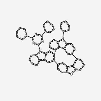 c1ccc(-c2nc(-c3ccccc3)nc(-n3c4ccccc4c4cc(-c5ccc6oc7cccc(-c8ccc9c(c8)c8ncccc8n9-c8ccccc8)c7c6c5)ccc43)n2)cc1